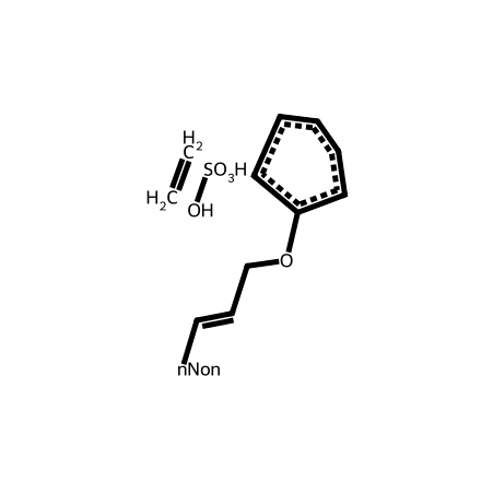 C=C.CCCCCCCCCC=CCOc1ccccc1.O=S(=O)(O)O